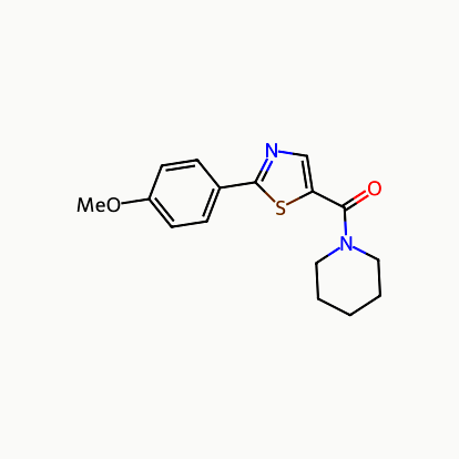 COc1ccc(-c2ncc(C(=O)N3CCCCC3)s2)cc1